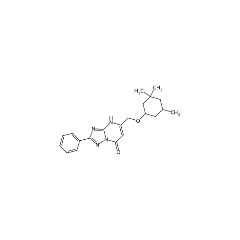 CC1CC(OCc2cc(=O)n3nc(-c4ccccc4)nc3[nH]2)CC(C)(C)C1